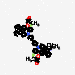 C=C/C=C\C1=C(C)c2ccc(N(c3ccc(F)cc3)c3ccc(-c4ccc(N(c5ccc(F)cc5)c5ccc6c(c5)C(c5ccccc5)(c5ccc(OCC7(CC)COC7)cc5)c5ccccc5-6)cc4)cc3)cc2C1(c1ccccc1)c1ccc(OCC2(CC)COC2)cc1